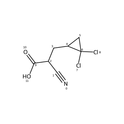 N#CC(CC1CC1(Cl)Cl)C(=O)O